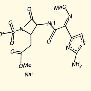 CO/N=C(\C(=O)NC1C(=O)N(S(=O)(=O)[O-])C1CC(=O)OC)c1csc(N)n1.[Na+]